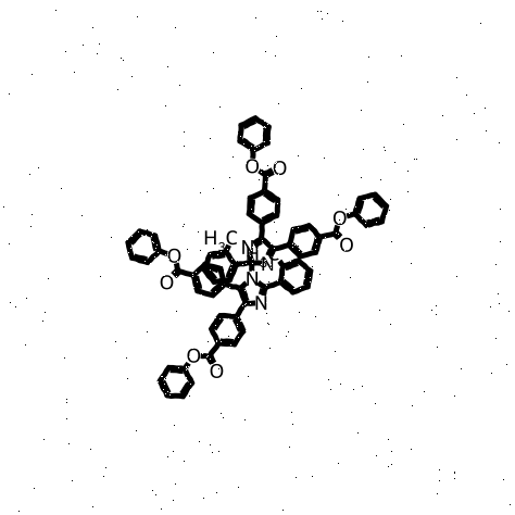 Cc1ccccc1-c1nc(-c2ccc(C(=O)Oc3ccccc3)cc2)c(-c2ccc(C(=O)Oc3ccccc3)cc2)n1C1(c2ccccc2C)N=C(c2ccc(C(=O)Oc3ccccc3)cc2)C(c2ccc(C(=O)Oc3ccccc3)cc2)=N1